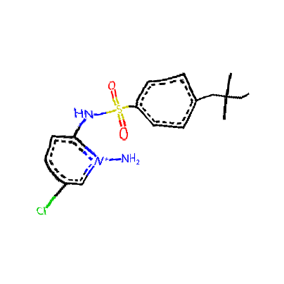 CC(C)(C)c1ccc(S(=O)(=O)Nc2ccc(Cl)c[n+]2N)cc1